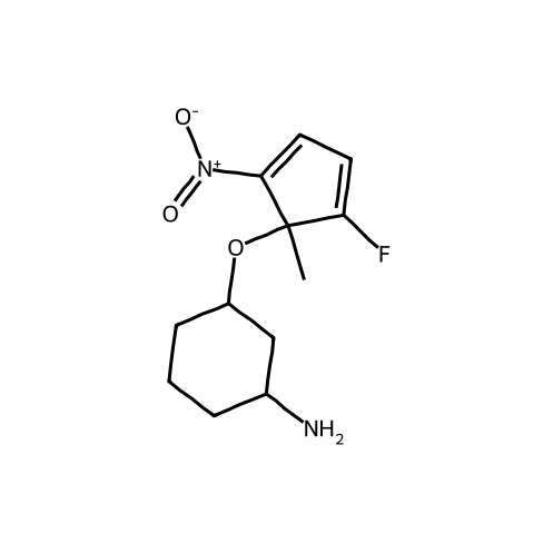 CC1(OC2CCCC(N)C2)C(F)=CC=C1[N+](=O)[O-]